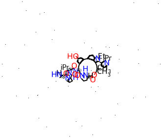 CCn1c(-c2cccnc2C(C)C)c2c3cc(ccc31)-c1cc(O)cc(c1)C[C@H](NC(=O)[C@H](C(C)C)N(C)C(=O)C13CC(CN1C(=O)[C@@H]1CN1)C3)C(=O)N1CCC[C@H](N1)C(=O)OCC(C)(C)C2